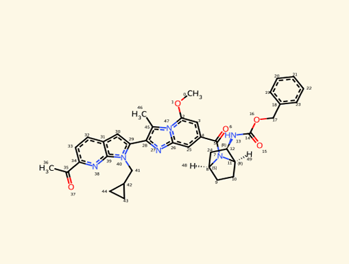 COc1cc(C(=O)N2[C@H]3CC[C@@H]2[C@H](NC(=O)OCc2ccccc2)C3)cc2nc(-c3cc4ccc(C(C)=O)nc4n3CC3CC3)c(C)n12